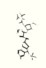 CC(C)[Si](O[C@H]1C[C@H](Nc2ncncc2C(=O)c2cc([C@@](C)(O[Si](C)(C)C)c3cccc(Br)c3)cs2)C[C@@H]1CO)(C(C)C)C(C)C